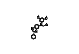 COc1cc(OC)cc(N(CC2CC2)c2ccc3ncc(-c4ccccc4)nc3c2)c1